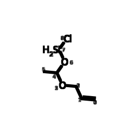 C=CCOC(C)O[SiH2]Cl